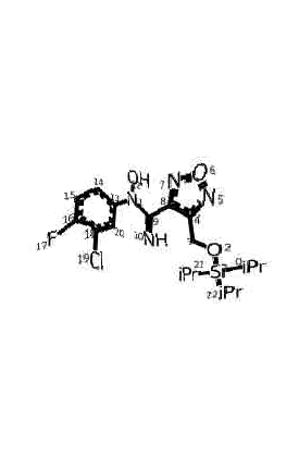 CC(C)[Si](OCc1nonc1C(=N)N(O)c1ccc(F)c(Cl)c1)(C(C)C)C(C)C